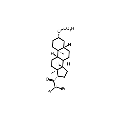 CC(C)N(C(=O)[C@H]1CC[C@H]2[C@@H]3CC[C@H]4C[C@@H](OC(=O)O)CC[C@]4(C)[C@H]3CC[C@]12C)C(C)C